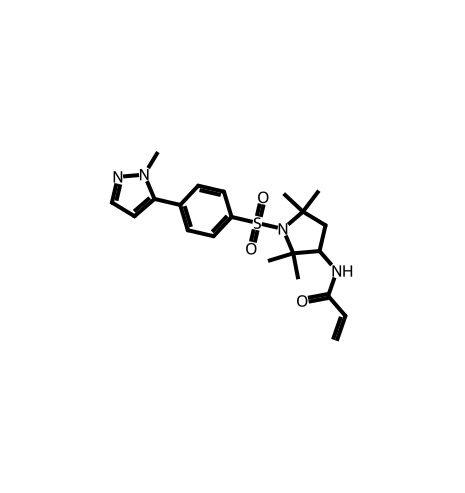 C=CC(=O)NC1CC(C)(C)N(S(=O)(=O)c2ccc(-c3ccnn3C)cc2)C1(C)C